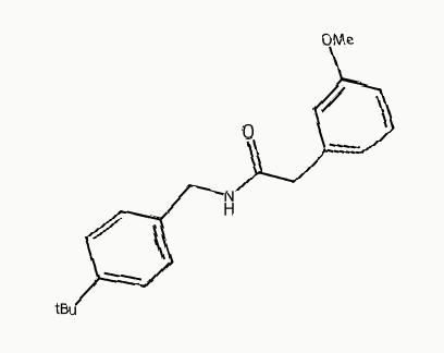 COc1cccc(CC(=O)NCc2ccc(C(C)(C)C)cc2)c1